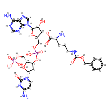 Nc1ccn([C@H]2C[C@H](OP(=O)(O)OC[C@H]3O[C@@H](n4cnc5c(N)ncnc54)[C@H](O)[C@@H]3OC(=O)[C@@H](N)CCCNC(=O)OCc3ccccc3)[C@@H](COP(=O)(O)O)O2)c(=O)n1